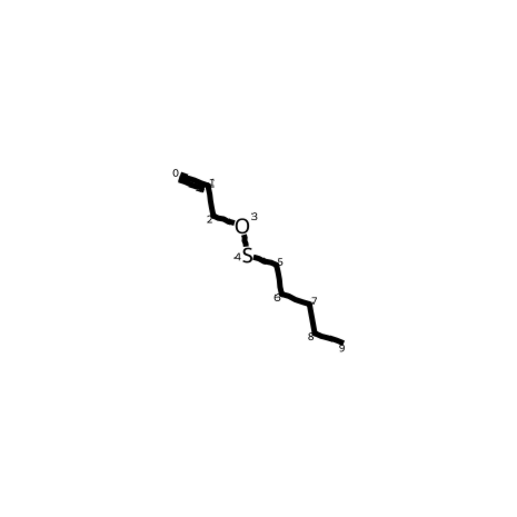 C=CCOSCCCCC